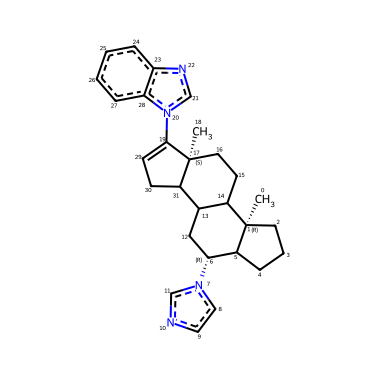 C[C@]12CCCC1[C@H](n1ccnc1)CC1C2CC[C@]2(C)C(n3cnc4ccccc43)=CCC12